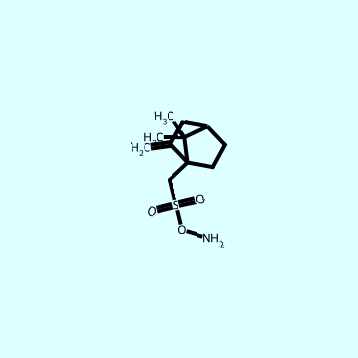 C=C1CC2CCC1(CS(=O)(=O)ON)C2(C)C